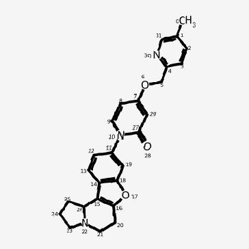 Cc1ccc(COc2ccn(-c3ccc4c5c(oc4c3)CCN3CCCC53)c(=O)c2)nc1